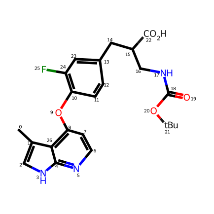 Cc1c[nH]c2nccc(Oc3ccc(CC(CNC(=O)OC(C)(C)C)C(=O)O)cc3F)c12